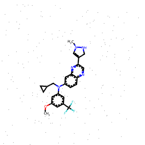 COc1cc(N(CC2CC2)c2ccc3ncc(C4=CN(C)NC4)nc3c2)cc(C(F)(F)F)c1